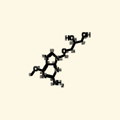 COc1nc(N)nc2c1ncn2COCC(O)CO